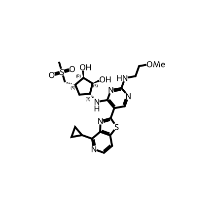 COCCNc1ncc(-c2nc3c(C4CC4)nccc3s2)c(N[C@@H]2C[C@H](CS(C)(=O)=O)[C@@H](O)[C@H]2O)n1